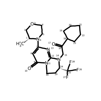 C[C@@H]1COCCN1c1cc(=O)n2c(n1)N(CC(=O)C1CCCCC1)[C@H](C(F)(F)F)CC2